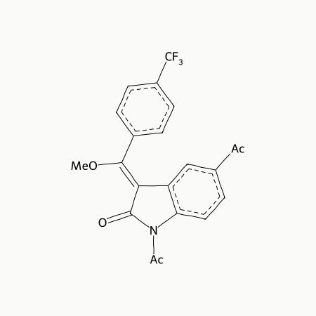 COC(=C1C(=O)N(C(C)=O)c2ccc(C(C)=O)cc21)c1ccc(C(F)(F)F)cc1